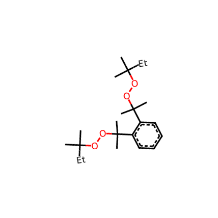 CCC(C)(C)OOC(C)(C)c1ccccc1C(C)(C)OOC(C)(C)CC